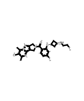 Cc1nc2c3c(nn2c(C)c1Cl)CN(C(=O)c1ccc(F)cc1O[C@H]1C[C@@H](NCCF)C1)C3